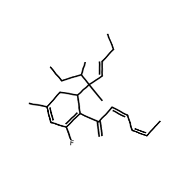 C=C(/C=C\C=C/C)C1=C(F)C=C(C)CC1C(C)(C=CCC)C(C)CC